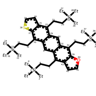 CC[Si](CC)(CC)CCc1c2cc3c(CC[Si](CC)(CC)CC)c4sccc4c(CC[Si](CC)(CC)CC)c3cc2c(CC[Si](CC)(CC)CC)c2occc12